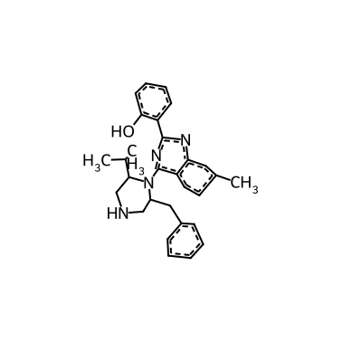 Cc1ccc2c(N3C(Cc4ccccc4)CNCC3C(C)C)nc(-c3ccccc3O)nc2c1